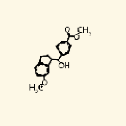 COC(=O)c1ccc(C(O)C2CCc3ccc(OC)cc32)cc1